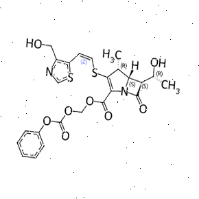 C[C@@H](O)[C@H]1C(=O)N2C(C(=O)OCOC(=O)Oc3ccccc3)=C(S/C=C\c3scnc3CO)[C@H](C)[C@H]12